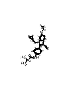 CC(C)OC(=O)Nc1ccc(-c2c(C#N)c3ccc(OCC(F)F)cc3n2CC2CC2)cc1